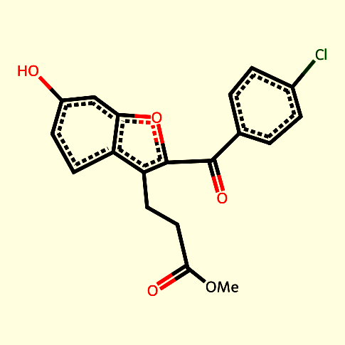 COC(=O)CCc1c(C(=O)c2ccc(Cl)cc2)oc2cc(O)ccc12